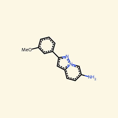 COc1cccc(-c2cc3ccc(N)cn3n2)c1